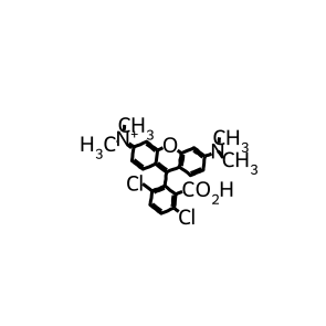 CN(C)c1ccc2c(-c3c(Cl)ccc(Cl)c3C(=O)O)c3ccc(=[N+](C)C)cc-3oc2c1